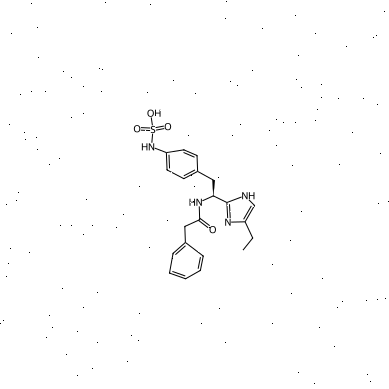 CCc1c[nH]c([C@H](Cc2ccc(NS(=O)(=O)O)cc2)NC(=O)Cc2ccccc2)n1